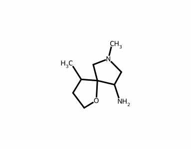 CC1CCOC12CN(C)CC2N